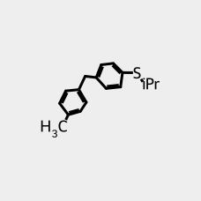 Cc1ccc(Cc2ccc(SC(C)C)cc2)cc1